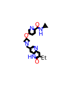 CCc1cc2ncc(CN3CC(Oc4ccc(C(=O)NC5CC5)nc4)C3)cc2[nH]c1=O